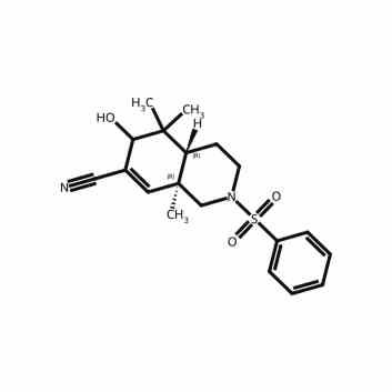 CC1(C)C(O)C(C#N)=C[C@]2(C)CN(S(=O)(=O)c3ccccc3)CC[C@@H]12